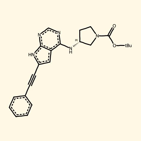 CC(C)(C)OC(=O)N1CC[C@@H](Nc2ncnc3[nH]c(C#Cc4ccccc4)cc23)C1